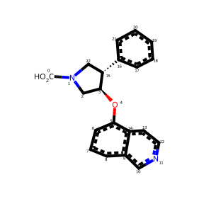 O=C(O)N1C[C@H](Oc2cccc3cnccc23)[C@@H](c2ccccc2)C1